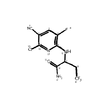 N#Cc1cc(F)c(NC(CC(F)(F)F)C(N)=O)nc1Cl